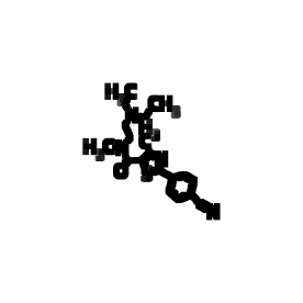 CCN(CC)CCN(C)C(=O)c1sc(-c2ccc(C#N)cc2)nc1C